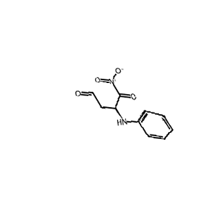 O=CCC(Nc1ccccc1)C(=O)[N+](=O)[O-]